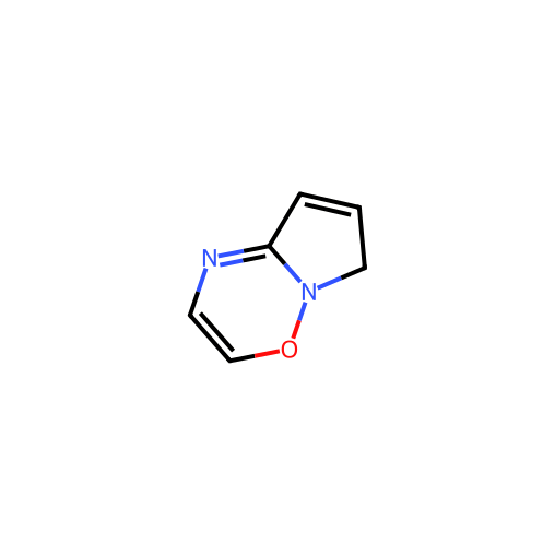 C1=CC2=NC=CON2C1